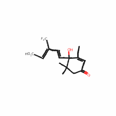 CC1=CC(=O)CC(C)(C)C1(O)C=CC(=CC(=O)O)C(F)(F)F